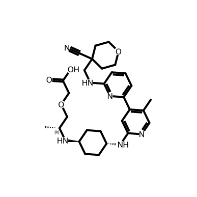 Cc1cnc(N[C@H]2CC[C@H](N[C@H](C)COCC(=O)O)CC2)cc1-c1cccc(NCC2(C#N)CCOCC2)n1